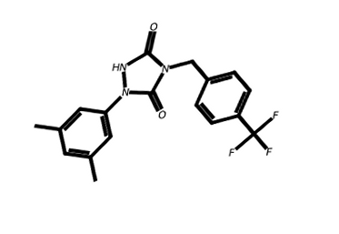 Cc1cc(C)cc(-n2[nH]c(=O)n(Cc3ccc(C(F)(F)F)cc3)c2=O)c1